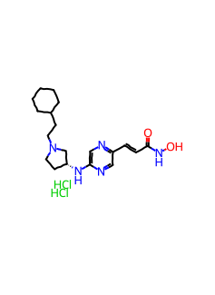 Cl.Cl.O=C(C=Cc1cnc(N[C@@H]2CCN(CCC3CCCCC3)C2)cn1)NO